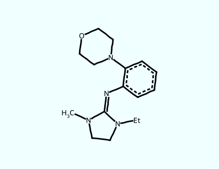 CCN1CCN(C)C1=Nc1ccccc1N1CCOCC1